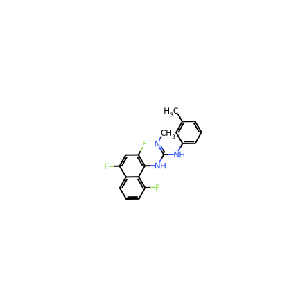 CN=C(Nc1cccc(C)c1)Nc1c(F)cc(F)c2cccc(F)c12